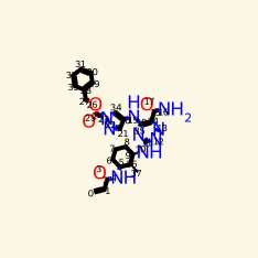 C=CC(=O)NC1CCC[C@@H](Nc2nnc(C(N)=O)c(Nc3cnn(C(=O)OCc4ccccc4)c3)n2)[C@H]1C